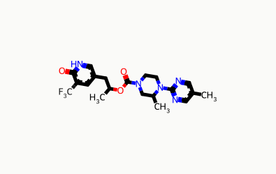 Cc1cnc(N2CCN(C(=O)OC(C)Cc3c[nH]c(=O)c(C(F)(F)F)c3)CC2C)nc1